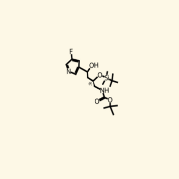 CC(C)(C)OC(=O)NC[C@@H](CC(O)c1cncc(F)c1)O[Si](C)(C)C(C)(C)C